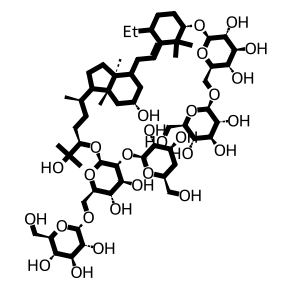 CCC1CC[C@H](O[C@@H]2O[C@H](CO[C@@H]3O[C@H](CO)[C@@H](O)[C@H](O)[C@H]3O)[C@@H](O)[C@H](O)[C@H]2O)C(C)(C)/C1=C/CC1C[C@H](O)C[C@]2(C)C([C@H](C)CC[C@@H](O[C@@H]3O[C@H](CO[C@H]4O[C@H](CO)[C@@H](O)[C@H](O)[C@H]4O)[C@@H](O)[C@H](O)[C@H]3O[C@@H]3O[C@H](CO)C[C@H](O)[C@H]3O)C(C)(C)O)CC[C@@]12C